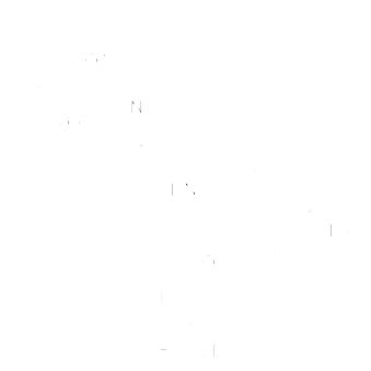 CC(C)(C)OC(=O)NCCNc1ccc(F)cc1OCC(F)(F)F